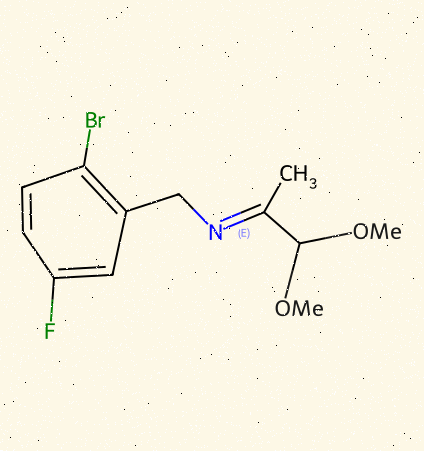 COC(OC)/C(C)=N/Cc1cc(F)ccc1Br